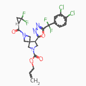 C=CCOC(=O)N1CC(c2nnc(C(F)(F)c3ccc(Cl)c(Cl)c3)o2)C2(C1)CN(C(=O)[C@H]1CC1(F)F)C2